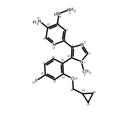 Cn1cnc(-c2cc(NN)c(N)cn2)c1-c1ccc(F)cc1OCC1CC1